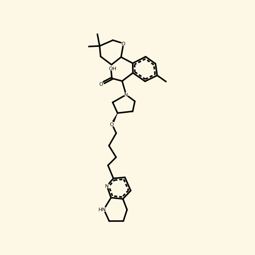 Cc1ccc(C2CCC(C)(C)CO2)c(C(C(=O)O)N2CC[C@@H](OCCCCc3ccc4c(n3)NCCC4)C2)c1